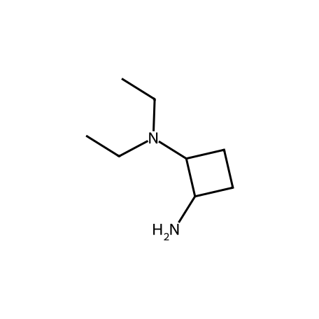 CCN(CC)C1CCC1N